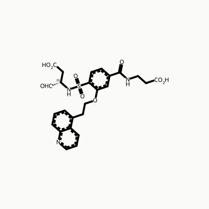 O=C[C@H](CC(=O)O)NS(=O)(=O)c1ccc(C(=O)NCCC(=O)O)cc1OCCc1cccc2ncccc12